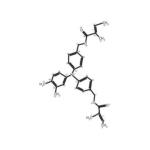 C/C=C(\C)C(=O)OCc1ccc(N(c2ccc(COC(=O)/C(C)=C/C)cc2)c2ccc(C)c(C)c2)cc1